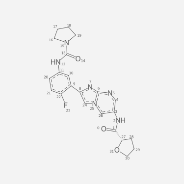 O=C(Nc1cnc2nc(-c3cc(NC(=O)N4CCCC4)ccc3F)cn2c1)[C@@H]1CCCO1